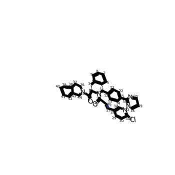 O=C([C@H](Cc1ccccc1)N(Cc1ccc(-c2ncccn2)cc1)C(=O)/C=C/c1ccc(Cl)nc1)N1CCc2ccccc2C1